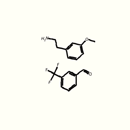 COc1cccc(CCN)c1.O=Cc1cccc(C(F)(F)F)c1